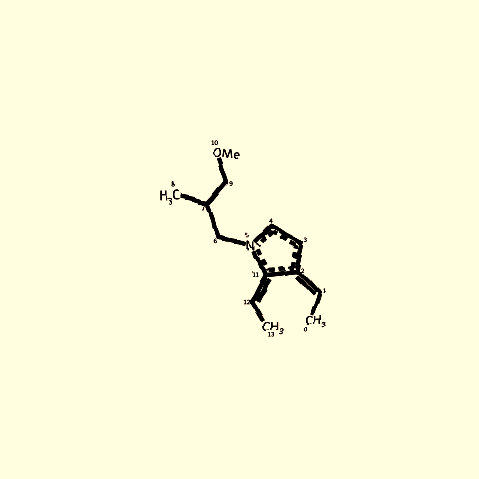 C/C=c1/ccn(CC(C)COC)/c1=C/C